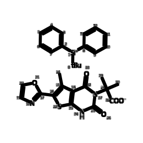 CC(C)(C)[Si+](c1ccccc1)c1ccccc1.Cc1c(-c2ncco2)sc2[nH]c(=O)n(C(C)(C)C(=O)[O-])c(=O)c12